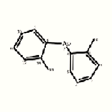 Cc1ccccc1[As]c1ccccc1C